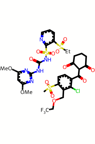 CCS(=O)(=O)c1cccnc1S(=O)(=O)NC(=O)Nc1nc(OC)cc(OC)n1.CS(=O)(=O)c1ccc(C(=O)C2C(=O)CCCC2=O)c(Cl)c1COCC(F)(F)F